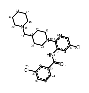 O=C(Nc1cc(Cl)cnc1N1CCC(CN2CCCCC2)CC1)c1cccc(Cl)c1